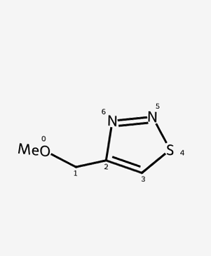 COCc1csnn1